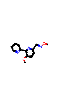 CON=Cc1ccc(OC)c(-c2ccccn2)n1